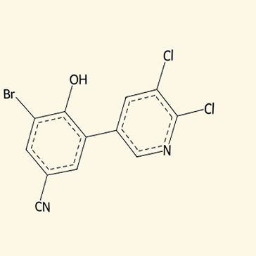 N#Cc1cc(Br)c(O)c(-c2cnc(Cl)c(Cl)c2)c1